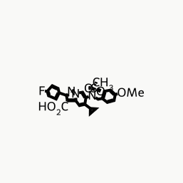 COc1ccc(CN(c2cn3nc(-c4ccc(F)cc4)c(C(=O)O)c3cc2C2CC2)S(C)(=O)=O)cc1